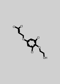 OCCOc1c(Cl)cc(OCC=C(Cl)Cl)cc1Cl